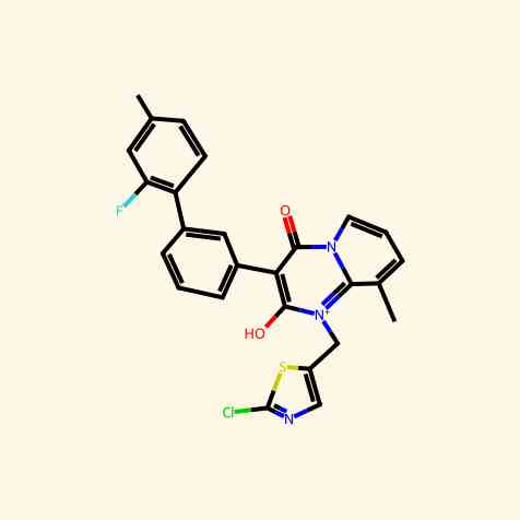 Cc1ccc(-c2cccc(-c3c(O)[n+](Cc4cnc(Cl)s4)c4c(C)cccn4c3=O)c2)c(F)c1